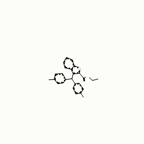 CCOC(=O)c1[nH]c2ccccc2c1C(c1ccc(Cl)cc1)c1ccc(Cl)cc1